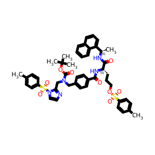 Cc1ccc(S(=O)(=O)OCCC[C@H](NC(=O)c2ccc(CN(Cc3nccn3S(=O)(=O)c3ccc(C)cc3)C(=O)OC(C)(C)C)cc2)C(=O)N[C@@H](C)c2cccc3ccccc23)cc1